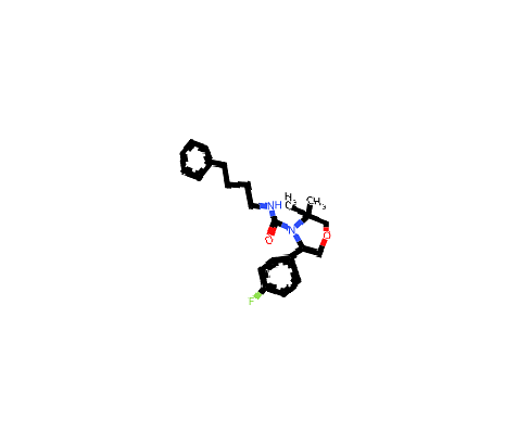 CC1(C)COCC(c2ccc(F)cc2)N1C(=O)NCCCCc1ccccc1